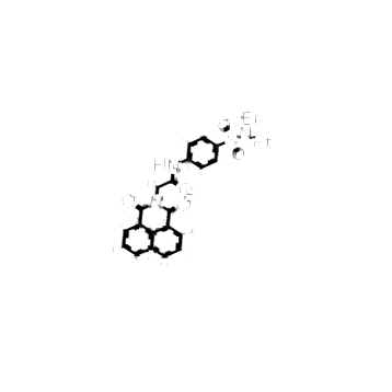 CCN(CC)S(=O)(=O)c1ccc(NC(=O)CN2C(=O)c3cccc4cccc(c34)C2=O)cc1